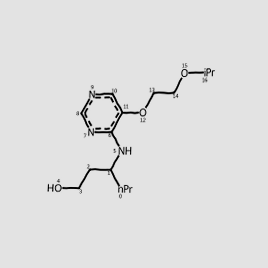 CCCC(CCO)Nc1ncncc1OCCOC(C)C